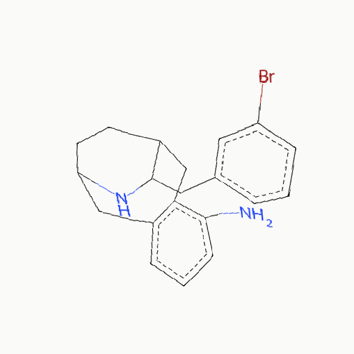 Nc1cccc2c1CC1CCC(C2)NC1Cc1cccc(Br)c1